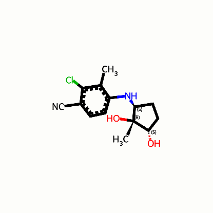 Cc1c(N[C@H]2CC[C@H](O)[C@]2(C)O)ccc(C#N)c1Cl